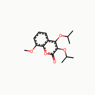 COc1cccc2c(OC(C)C)c(OC(C)C)c(=O)oc12